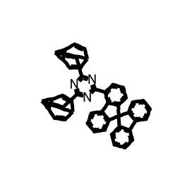 C1=CC2C3C=CC1C(c1nc(C4=CC5C6C=CC4C=CC65)nc(-c4cccc5c4-c4ccccc4C54c5ccccc5-c5ccccc54)n1)=CC23